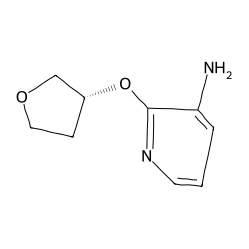 Nc1cccnc1O[C@@H]1CCOC1